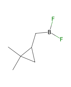 CC1(C)CC1CB(F)F